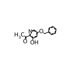 CC(=O)c1ncc(OCc2ccccc2)cc1O